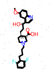 COc1ccc2nccc([C@@H](O)CC[C@@H]3CCN(CCCCc4c(F)cccc4F)C[C@@H]3C(=O)O)c2c1